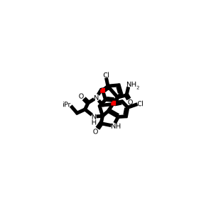 CC(C)CC(NC1(Cc2cccc(Cl)c2)C(=O)Nc2cc(Cl)ccc21)C(=O)N1CCC(C(N)=O)CC1